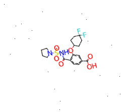 O=C(O)c1ccc(C(=O)NS(=O)(=O)N2CCCC2)c(OC2CCC(F)(F)CC2)c1